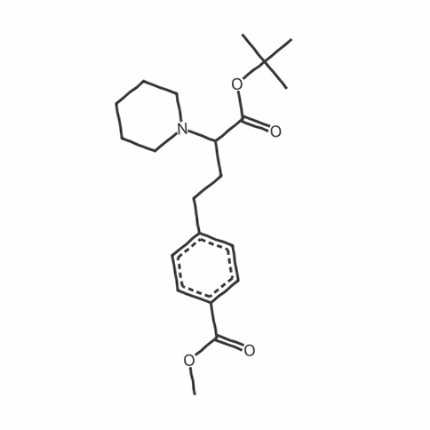 COC(=O)c1ccc(CCC(C(=O)OC(C)(C)C)N2CCCCC2)cc1